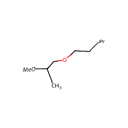 COC(C)COCCC(C)C